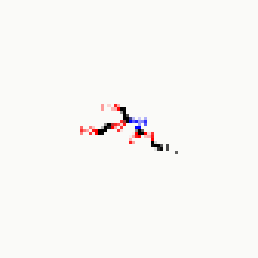 CCOC(=O)NC(CO)OCCO